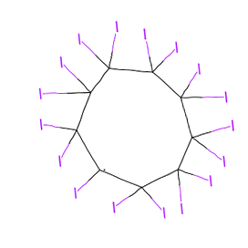 I[C]1C(I)(I)C(I)(I)C(I)(I)C(I)(I)C(I)(I)C(I)(I)C(I)(I)C1(I)I